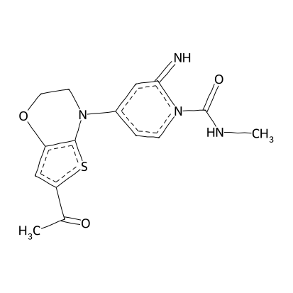 CNC(=O)n1ccc(N2CCOc3cc(C(C)=O)sc32)cc1=N